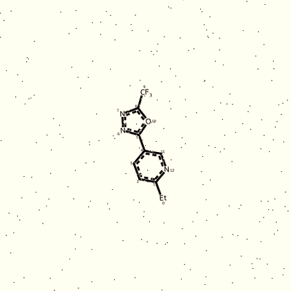 CCc1ccc(-c2nnc(C(F)(F)F)o2)cn1